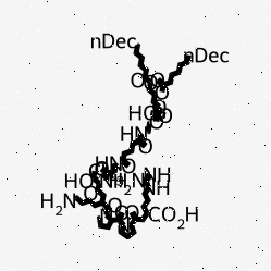 CCCCCCCCCCCCCCCC(=O)OCC(COP(=O)(O)OCCNC(=O)CCCC(=O)NCC(=O)NC(C(=O)CC(CCCCN)C(=O)N1CCCC1C(=O)N1CCCC1C(=O)CC(CCCNC(=N)N)C(=O)O)C(C)O)OC(=O)CCCCCCCCCCCCCCC